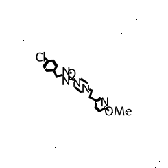 COc1ccc(CCN2CCN(c3nc(Cc4ccc(Cl)cc4)no3)CC2)cn1